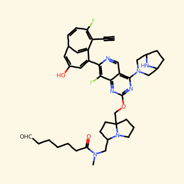 C#CC1=C(F)C=CC2C=C(O)C=C(c3ncc4c(N5CC6CCC(C5)N6)nc(OCC56CCCN5C(CN(C)C(=O)CCCCCC=O)CC6)nc4c3F)C1=C2